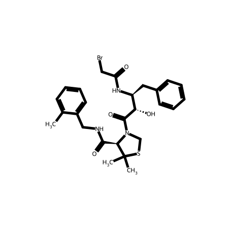 Cc1ccccc1CNC(=O)[C@H]1N(C(=O)[C@@H](O)[C@H](Cc2ccccc2)NC(=O)CBr)CSC1(C)C